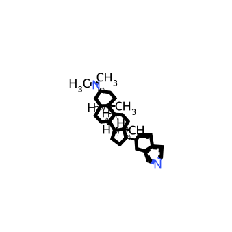 CN(C)[C@H]1CC[C@@]2(C)[C@@H](CC[C@@H]3[C@@H]2CC[C@]2(C)[C@@H](C4C=Cc5ccncc5C4)CC[C@@H]32)C1